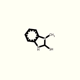 CN1c2ccccc2NC1S